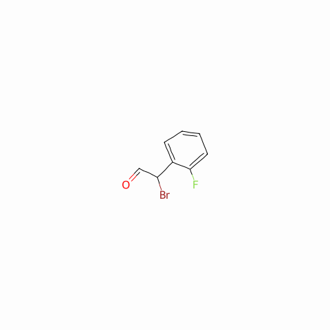 O=CC(Br)c1ccccc1F